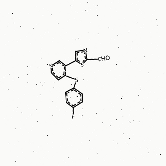 O=Cc1ncc(-c2cnccc2Sc2ccc(F)cc2)s1